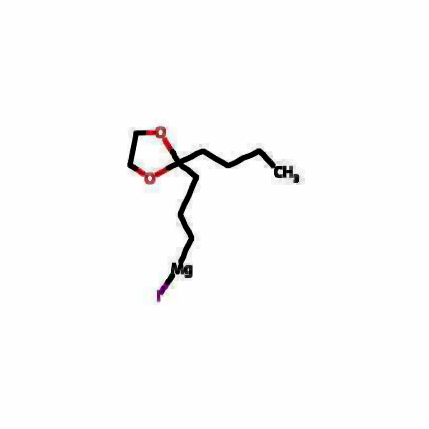 CCCCC1(CC[CH2][Mg][I])OCCO1